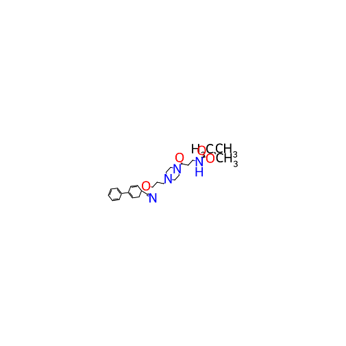 CC(C)(C)OC(=O)NCCC(=O)N1CCN(CCCOC2(C#N)C=CC(c3ccccc3)=CC2)CC1